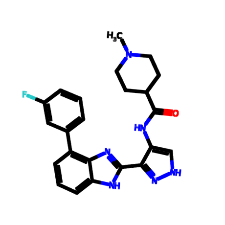 CN1CCC(C(=O)Nc2c[nH]nc2-c2nc3c(-c4cccc(F)c4)cccc3[nH]2)CC1